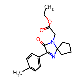 CCOC(=O)CN1C(=O)C(c2ccc(C)cc2)=NC12CCCC2